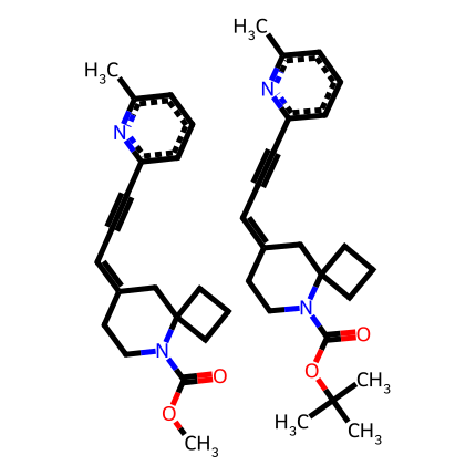 COC(=O)N1CCC(=CC#Cc2cccc(C)n2)CC12CCC2.Cc1cccc(C#CC=C2CCN(C(=O)OC(C)(C)C)C3(CCC3)C2)n1